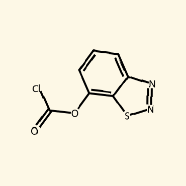 O=C(Cl)Oc1cccc2nnsc12